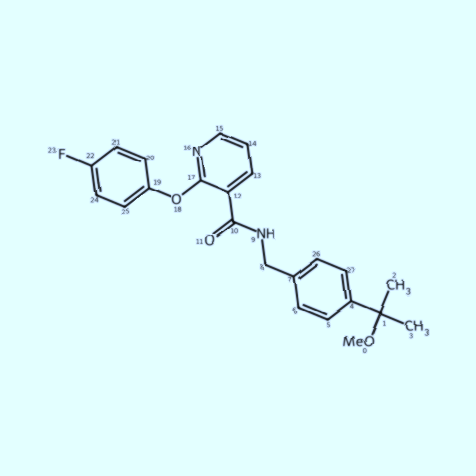 COC(C)(C)c1ccc(CNC(=O)c2cccnc2Oc2ccc(F)cc2)cc1